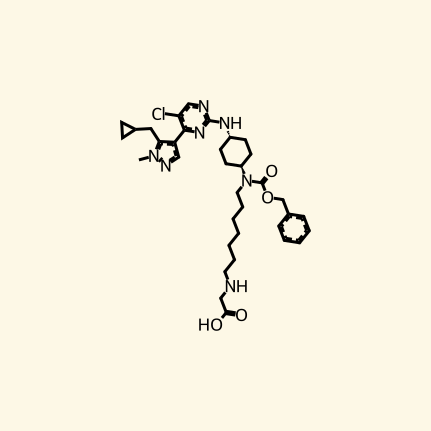 Cn1ncc(-c2nc(N[C@H]3CC[C@H](N(CCCCCCCNCC(=O)O)C(=O)OCc4ccccc4)CC3)ncc2Cl)c1CC1CC1